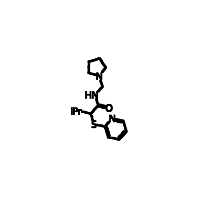 CC(C)C(Sc1ccccn1)C(=O)NCN1CCCC1